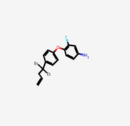 C=CCC(CC)(CC)c1ccc(Oc2ccc(N)cc2F)cc1